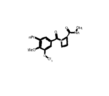 CCCc1cc(C(=O)N2CC[C@@H]2C(=O)NO)cc(OC(F)(F)F)c1OC